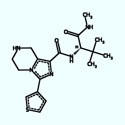 CNC(=O)[C@@H](NC(=O)c1nc(-c2ccsc2)n2c1CNCC2)C(C)(C)C